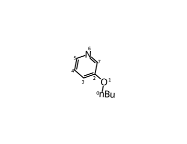 [CH2]CCCOc1cccnc1